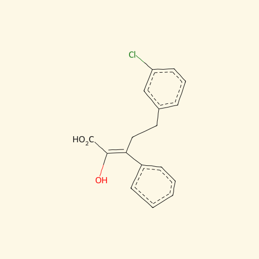 O=C(O)/C(O)=C(\CCc1cccc(Cl)c1)c1ccccc1